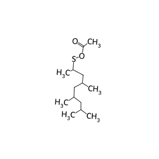 CC(=O)OSC(C)CC(C)CC(C)CC(C)C